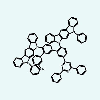 N#Cc1cccc(-c2cc(-c3cc(-c4nc(-c5ccccc5)nc(-c5ccccc5)n4)ccc3-n3c4ccccc4c4cc5c6ccccc6n(-c6ccccc6)c5cc43)ccc2-n2c3ccccc3c3cc4c5ccccc5n(-c5ccccc5)c4cc32)c1